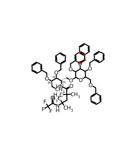 CC[C@@H](OCc1ccccc1)[C@@H](OCc1ccccc1)[C@H](COC1OC(COCc2ccccc2)C(OCc2ccccc2)C(OCc2ccccc2)C1OCc1ccccc1)NC(=O)C(C)(C)CC(C)(C)NC(=O)C(F)(F)F